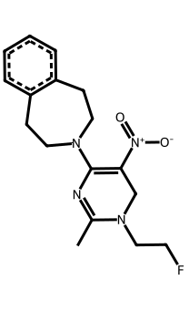 CC1=NC(N2CCc3ccccc3CC2)=C([N+](=O)[O-])CN1CCF